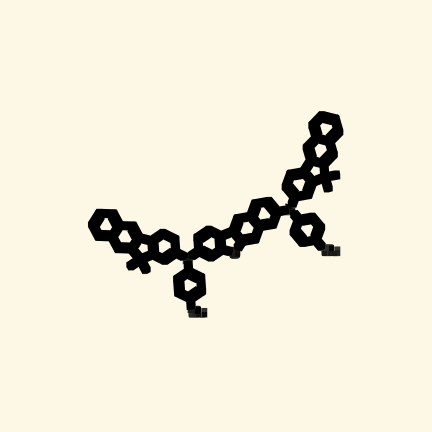 CC(C)(C)c1ccc(N(C2=CC3=C(CC2)c2cc4ccccc4cc2C3(C)C)c2ccc3c(c2)oc2cc4cc(N(c5ccc(C(C)(C)C)cc5)c5ccc6c(c5)C(C)(C)c5cc7ccccc7cc5-6)ccc4cc23)cc1